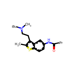 CCC(C)N(C)CCc1c(C)sc2ccc(NC(=O)C(C)C)cc12